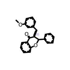 COc1cccc(/C=C2\C(=O)c3ccccc3OC2c2ccccc2)c1